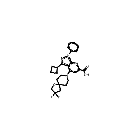 O=C(O)c1cc(N2CCC3(CC2)CC(F)(F)CO3)c2c(C3CCC3)nn(-c3ccccc3)c2n1